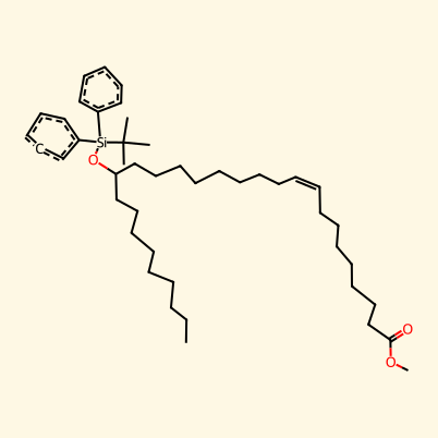 CCCCCCCCCC(CCCCCCCC/C=C\CCCCCCCC(=O)OC)O[Si](c1ccccc1)(c1ccccc1)C(C)(C)C